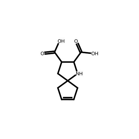 O=C(O)C1CC2(CC=CC2)NC1C(=O)O